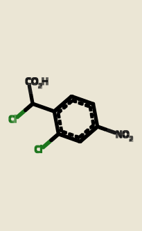 O=C(O)C(Cl)c1ccc([N+](=O)[O-])cc1Cl